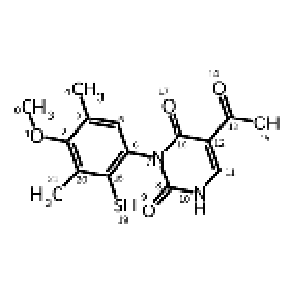 COc1c(C)cc(-n2c(=O)[nH]cc(C(=O)O)c2=O)c(S)c1C